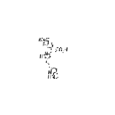 COc1ccc([C@H](CC(=O)O)c2cc(CCCc3ccc4c(n3)NCCC4)[nH]n2)cc1F